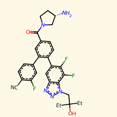 CCC(O)(CC)Cn1nnc2cc(-c3ccc(C(=O)N4CC[C@H](N)C4)cc3-c3ccc(C#N)c(F)c3)c(F)c(F)c21